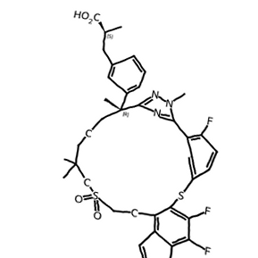 C[C@@H](Cc1cccc([C@@]2(C)CCCC(C)(C)CS(=O)(=O)CCc3c(c(F)c(F)c4[nH]ccc34)Sc3ccc(F)c(c3)-c3nc2nn3C)c1)C(=O)O